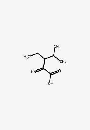 CCC(C(=N)C(=O)O)C(C)C